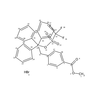 Br.COC(=O)c1ccc(CP(OS(=O)(=O)C(F)(F)F)(c2ccccc2)(c2ccccc2)c2ccccc2)cc1